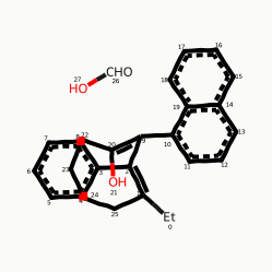 CC/C1=C(c2ccccc2)\C(c2cccc3ccccc23)=C(/O)CCCC1.O=CO